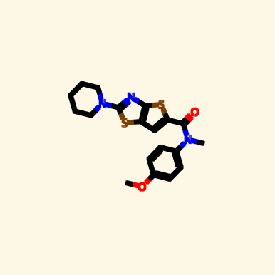 COc1ccc(N(C)C(=O)c2cc3sc(N4CCCCC4)nc3s2)cc1